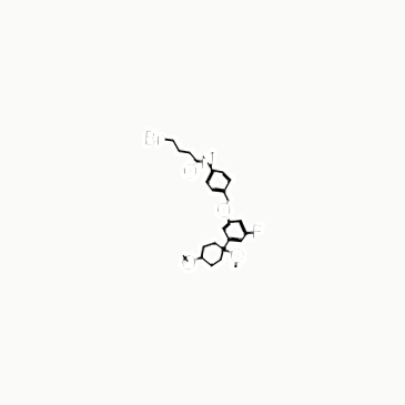 COC1CCC(OC)(c2cc(F)cc(OCc3ccc(N(C)C(=O)CCCBr)cc3)c2)CC1